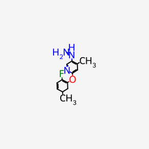 Cc1cc(OC2=C(F)C=CC(C)C2)ncc1NN